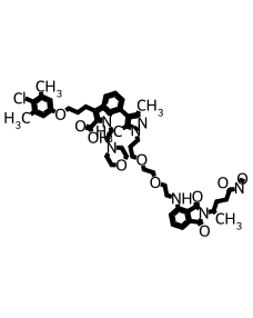 Cc1cc(OCCCc2c(C(=O)O)n(CCN3CCOCC3)c3c(-c4c(C)nn(CCCOCCOCCNc5cccc6c5C(=O)N(C(C)CCC(=O)N=O)C6=O)c4C)cccc23)cc(C)c1Cl